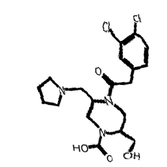 O=C(O)N1CC(CN2CCCC2)N(C(=O)Cc2ccc(Cl)c(Cl)c2)CC1CO